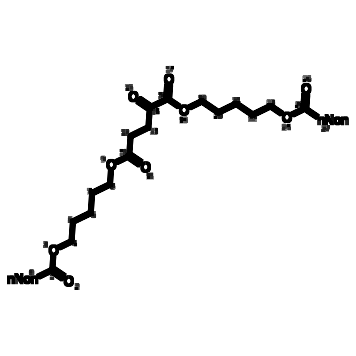 CCCCCCCCCC(=O)OCCCCCOC(=O)CCC(=O)C(=O)OCCCCCOC(=O)CCCCCCCCC